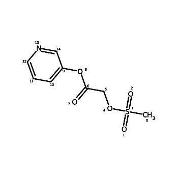 CS(=O)(=O)OCC(=O)Oc1cccnc1